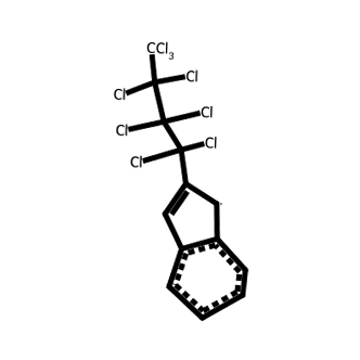 ClC(Cl)(Cl)C(Cl)(Cl)C(Cl)(Cl)C(Cl)(Cl)C1=Cc2ccccc2[CH]1